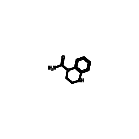 NC(=O)N1CCNc2ccccc21